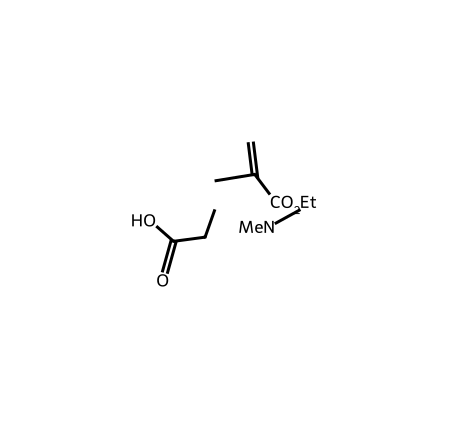 C=C(C)C(=O)OCC.CCC(=O)O.CNC